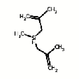 C=C(C)C[SiH](C)CC(=C)C